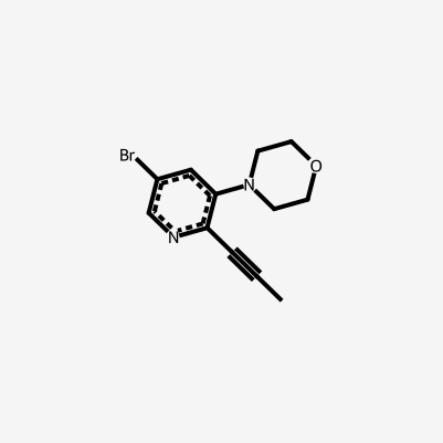 CC#Cc1ncc(Br)cc1N1CCOCC1